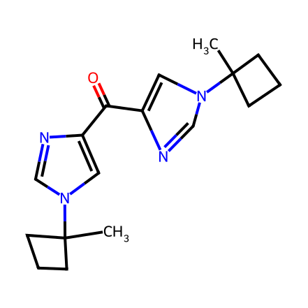 CC1(n2cnc(C(=O)c3cn(C4(C)CCC4)cn3)c2)CCC1